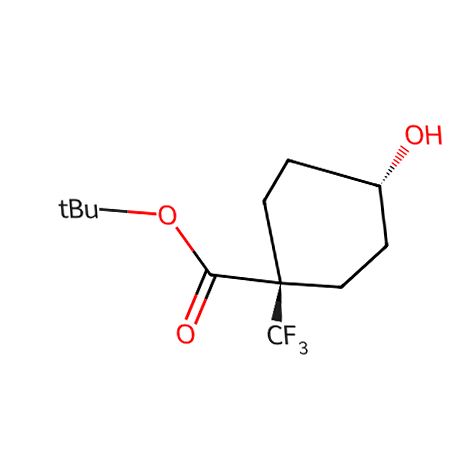 CC(C)(C)OC(=O)[C@]1(C(F)(F)F)CC[C@H](O)CC1